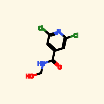 O=C(NCO)c1cc(Cl)nc(Cl)c1